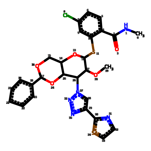 CNC(=O)c1ccc(Cl)cc1SC1OC2COC(c3ccccc3)OC2C(n2cc(-c3nccs3)nn2)C1OC